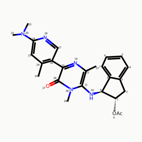 CC(=O)O[C@H]1Cc2ccccc2[C@@H]1Nc1c(C)nc(-c2cnc(N(C)C)cc2C)c(=O)n1C